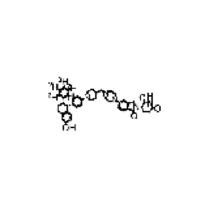 [2H]c1c([2H])c([2H])c([C@H]2CCc3cc(O)ccc3[C@H]2c2ccc(N3CCC(CN4CCN(c5ccc6c(c5)CN([C@H]5CCC(=O)NC5=O)C6=O)CC4)CC3)cc2)c([2H])c1[2H]